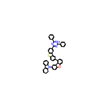 C1=Cc2c(n(-c3ccc4oc5cccc(-c6ccc7sc8ccc(C9=NC(c%10ccccc%10)NC(c%10ccccc%10)=N9)cc8c7c6)c5c4c3)c3ccccc23)CC1